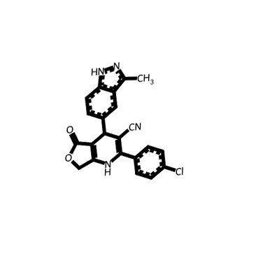 Cc1n[nH]c2ccc(C3C(C#N)=C(c4ccc(Cl)cc4)NC4=C3C(=O)OC4)cc12